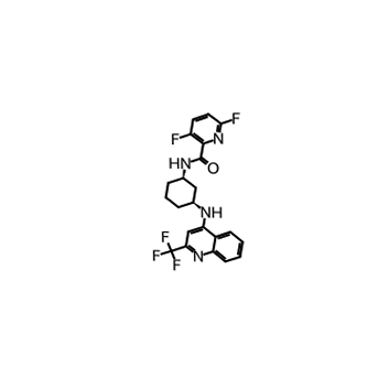 O=C(N[C@@H]1CCC[C@H](Nc2cc(C(F)(F)F)nc3ccccc23)C1)c1nc(F)ccc1F